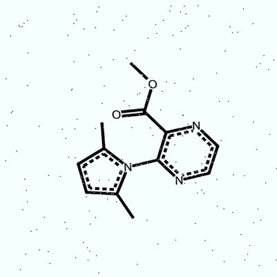 COC(=O)c1nccnc1-n1c(C)ccc1C